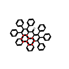 O=C(c1c(-c2ccccc2)c(-c2ccccc2)c(-c2ccccc2)c(-c2ccccc2)c1-c1ccccc1)c1c(-c2ccccc2)c(-c2ccccc2)c(-c2ccccc2)c(-c2ccccc2)c1-c1ccccc1